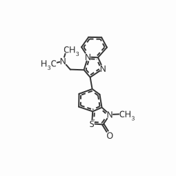 CN(C)Cc1c(-c2ccc3sc(=O)n(C)c3c2)nc2ccccn12